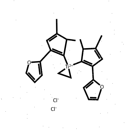 CC1=CC(c2ccco2)=[C]([Ti+2]2([C]3=C(c4ccco4)C=C(C)C3C)[CH2][CH2]2)C1C.[Cl-].[Cl-]